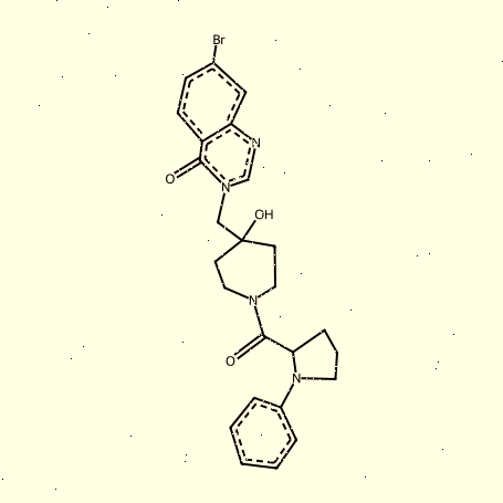 O=C(C1CCCN1c1ccccc1)N1CCC(O)(Cn2cnc3cc(Br)ccc3c2=O)CC1